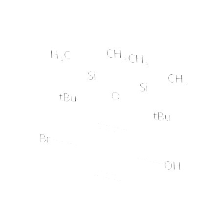 CC(C)(C)[Si](C)(C)O[Si](C)(C)C(C)(C)C.Oc1ccc(Br)cc1